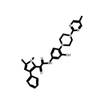 Cc1cnc(N2CCN(c3ccc(NC(=O)C(=O)c4c(-c5ccccc5)cc(C)n4C)cc3O)CC2)nc1